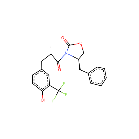 C[C@@H](Cc1ccc(O)c(C(F)(F)F)c1)C(=O)N1C(=O)OC[C@H]1Cc1ccccc1